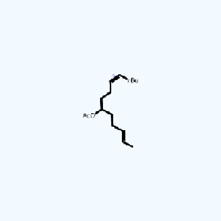 CC=CCCC(CC/C=C\CCCC)OC(C)=O